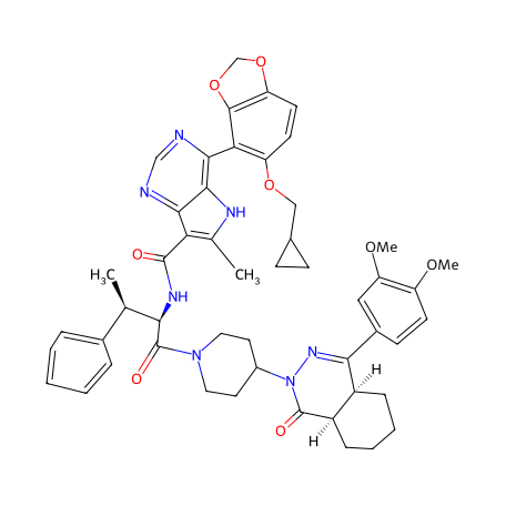 COc1ccc(C2=NN(C3CCN(C(=O)[C@H](NC(=O)c4c(C)[nH]c5c(-c6c(OCC7CC7)ccc7c6OCO7)ncnc45)[C@H](C)c4ccccc4)CC3)C(=O)[C@@H]3CCCC[C@H]23)cc1OC